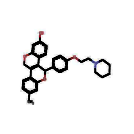 Cc1ccc2c(c1)OC(c1ccc(OCCN3CCCCC3)cc1)C1=C2COc2cc(O)ccc21